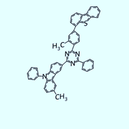 Cc1ccc2c(c1)c1cc(-c3nc(-c4ccccc4)nc(-c4ccc(-c5cccc6c5sc5ccccc56)cc4C)n3)ccc1n2-c1ccccc1